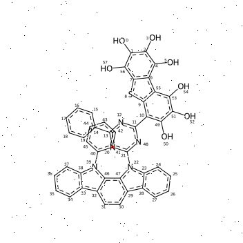 Oc1c(O)c(O)c2c(sc3c(-c4nc(-c5ccccc5)nc(-n5c6ccccc6c6ccc7c8ccccc8n(-c8ccccc8)c7c65)n4)c(O)c(O)c(O)c32)c1O